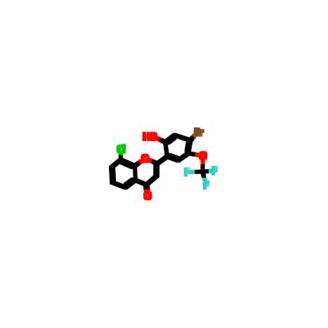 O=c1cc(-c2cc(OC(F)(F)F)c(Br)cc2O)oc2c(Cl)cccc12